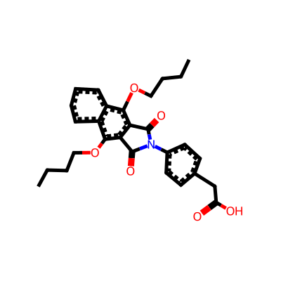 CCCCOc1c2c(c(OCCCC)c3ccccc13)C(=O)N(c1ccc(CC(=O)O)cc1)C2=O